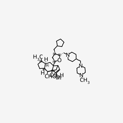 CC(C)C1=CC2CC3(C=O)[C@@H]4CC[C@@H](C)[C@H]4CC2([C@H]2C[C@@H](CC4CCCC4)[C@H](CN4CCC(CN5CCN(C)CC5)CC4)O2)[C@]13C(=O)O